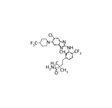 Cn1c(Nc2cc(CCC(C)(C)[S+](N)[O-])ccc2C(F)(F)F)nc2cc(Cl)c(N3CCC(C(F)(F)F)CC3)cc21